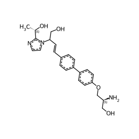 C[C@H](O)c1nccn1C(C=Cc1ccc(-c2ccc(OC[C@@H](N)CO)cc2)cc1)CO